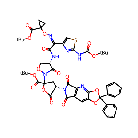 CC(C)(C)OC(=O)Nc1nc(/C(=N/OC2(C(=O)OC(C)(C)C)CC2)C(=O)N[C@H]2CON(C3(C(=O)OC(C)(C)C)C[C@H](N4C(=O)c5cc6c(nc5C4=O)OC(c4ccccc4)(c4ccccc4)O6)C(=O)O3)C2=O)cs1